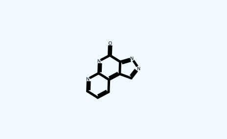 O=C1N=c2ncccc2=C2C=NN=C12